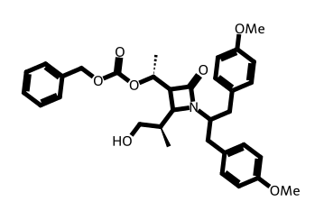 COc1ccc(CC(Cc2ccc(OC)cc2)N2C(=O)C([C@@H](C)OC(=O)OCc3ccccc3)C2[C@@H](C)CO)cc1